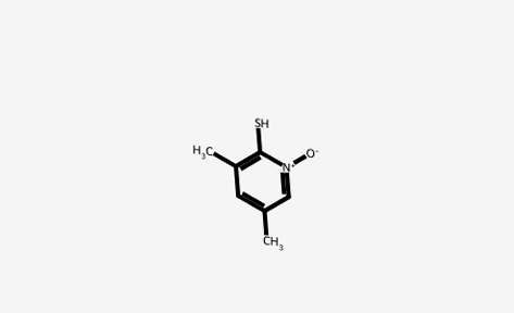 Cc1cc(C)c(S)[n+]([O-])c1